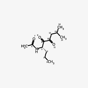 CCC[C@H](NC(C)=O)C(=O)C(=O)CC(C)C